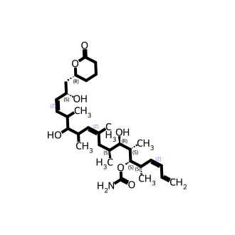 C=C/C=C\[C@H](C)[C@H](OC(N)=O)[C@@H](C)[C@H](O)[C@@H](C)C/C(C)=C\C(C)C(O)C(C)/C=C\[C@@H](O)C[C@H]1CCCC(=O)O1